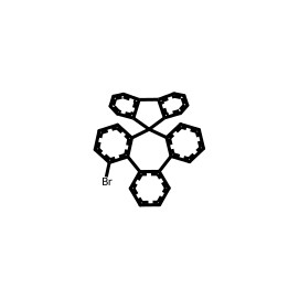 Brc1cccc2c1-c1ccccc1-c1ccccc1C21c2ccccc2-c2ccccc21